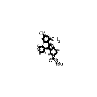 Cc1cc(Cl)ccc1-c1nn2c(c1-c1ccncc1)CN(C(=O)OC(C)(C)C)CC2